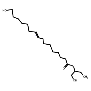 CCC(CO)OC(=O)CCCCCCC/C=C/CCCCCCO